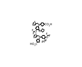 CC(C)Oc1cc(N(Cc2cncs2)c2ccc(C(=O)O)cc2)ccc1OC(F)F.O=C(O)c1ccc(N(Cc2cncs2)c2ccc(OC(F)F)c(OC3CCCC3)c2)cc1